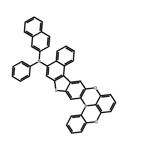 c1ccc(N(c2ccc3ccccc3c2)c2cc3sc4cc5c(cc4c3c3ccccc23)Oc2cccc3c2B5c2ccccc2O3)cc1